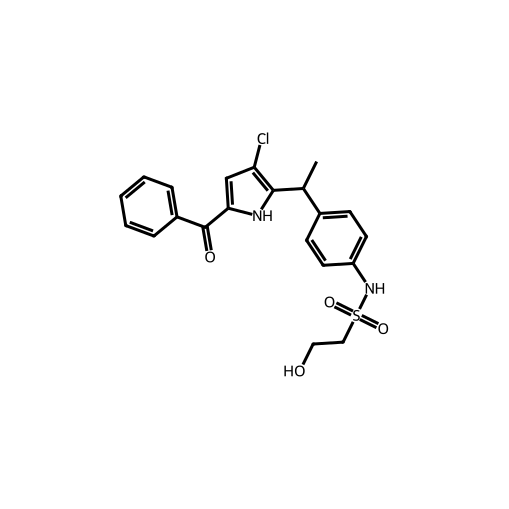 CC(c1ccc(NS(=O)(=O)CCO)cc1)c1[nH]c(C(=O)c2ccccc2)cc1Cl